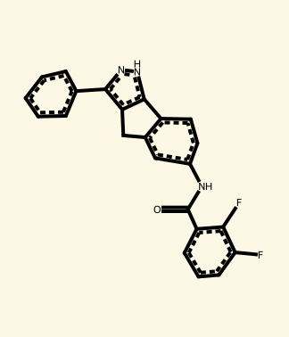 O=C(Nc1ccc2c(c1)Cc1c(-c3ccccc3)n[nH]c1-2)c1cccc(F)c1F